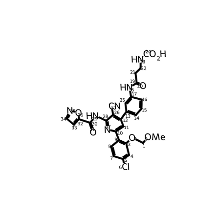 COCOc1cc(Cl)ccc1-c1cc(-c2cccc(NC(=O)CCNC(=O)O)c2)c(C#N)c(NC(=O)c2ccno2)n1